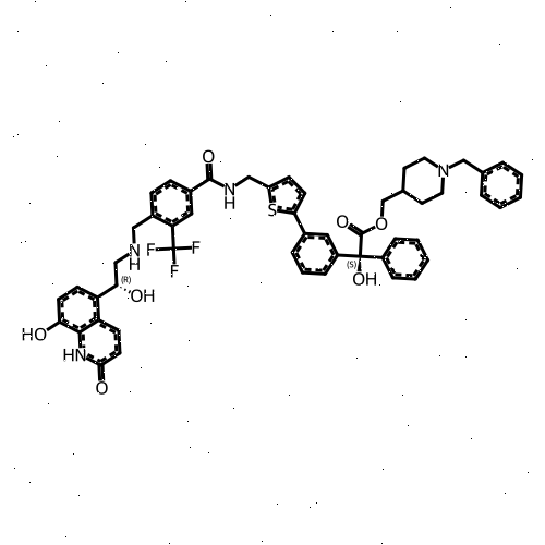 O=C(NCc1ccc(-c2cccc([C@](O)(C(=O)OCC3CCN(Cc4ccccc4)CC3)c3ccccc3)c2)s1)c1ccc(CNC[C@H](O)c2ccc(O)c3[nH]c(=O)ccc23)c(C(F)(F)F)c1